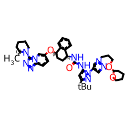 C[C@H]1CCCCN1c1nnc2ccc(O[C@@H]3CC[C@H](NC(=O)Nc4cc(C(C)(C)C)nn4-c4cnn(CCCOC5CCCCO5)c4)c4ccccc43)cn12